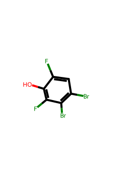 Oc1c(F)cc(Br)c(Br)c1F